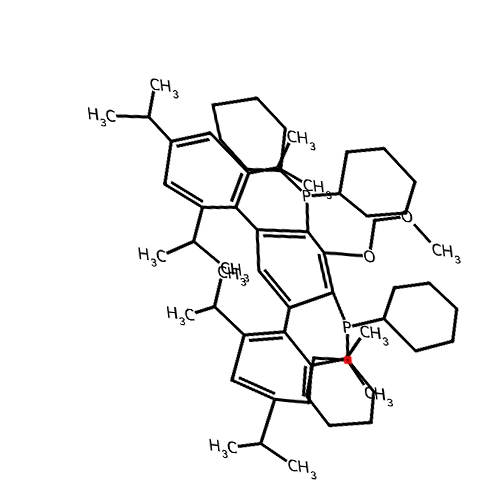 COCOc1c(P(C2CCCCC2)C2CCCCC2)c(-c2c(C(C)C)cc(C(C)C)cc2C(C)C)cc(-c2c(C(C)C)cc(C(C)C)cc2C(C)C)c1P(C1CCCCC1)C1CCCCC1